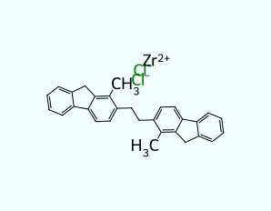 Cc1c(CCc2ccc3c(c2C)Cc2ccccc2-3)ccc2c1Cc1ccccc1-2.[Cl-].[Cl-].[Zr+2]